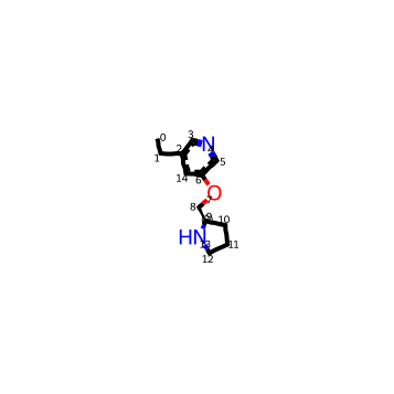 CCc1cncc(OC[C@H]2CCCN2)c1